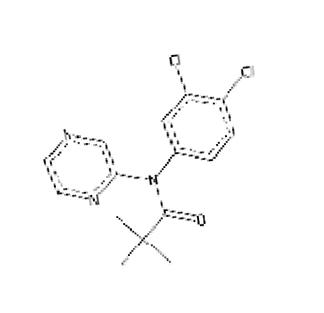 CC(C)(C)C(=O)N(c1ccc(Cl)c(Cl)c1)c1cnccn1